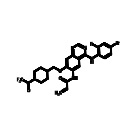 C=CC(=O)Nc1cc2c(Nc3ccc(Br)cc3F)ncnc2cc1OCC1CCN(C(=O)C(F)(F)F)CC1